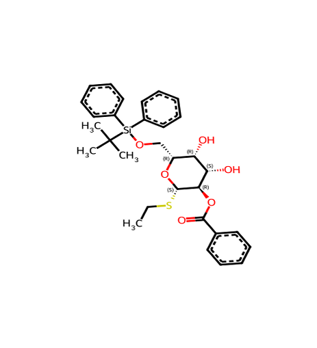 CCS[C@@H]1O[C@H](CO[Si](c2ccccc2)(c2ccccc2)C(C)(C)C)[C@H](O)[C@H](O)[C@H]1OC(=O)c1ccccc1